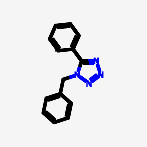 [c]1ccccc1-c1nnnn1Cc1ccccc1